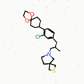 CC(Cc1ccc(C2CCC3(CC2)OCCO3)c(Cl)c1)CN1CCC2(CSC2)C1